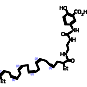 CC/C=C\C/C=C\C/C=C\C/C=C\C/C=C\C/C=C\CC(CC)C(=O)NCCNC(=O)Nc1ccc(O)c(C(=O)O)c1